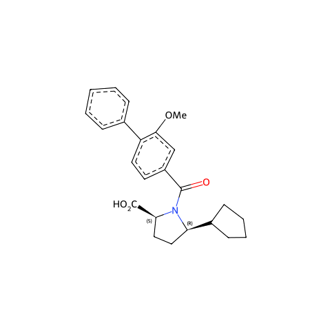 COc1cc(C(=O)N2[C@@H](C3CCCC3)CC[C@H]2C(=O)O)ccc1-c1ccccc1